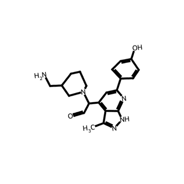 Cc1n[nH]c2nc(-c3ccc(O)cc3)cc(C(C=O)N3CCCC(CN)C3)c12